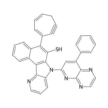 Sc1c(C2=CC=CCC#C2)c2ccccc2c2c3ncccc3n(-c3cc(-c4ccccc4)c4nccnc4n3)c12